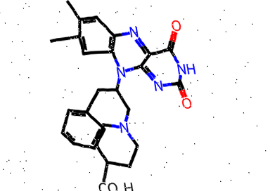 Cc1cc2nc3c(=O)[nH]c(=O)nc-3n(C(Cc3ccccc3)CN3CCC(C(=O)O)CC3)c2cc1C